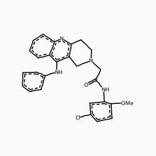 COc1ccc(Cl)cc1NC(=O)CN1CCc2nc3ccccc3c(Nc3ccccc3)c2C1